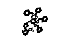 FC(F)(F)c1cccnc1N1CC[C@H](CN2C[C@H](OCc3ccccc3)[C@@H](OCc3ccccc3)[C@H](OCc3ccccc3)[C@@H]2COCc2ccccc2)C1